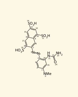 CNc1ccc(/N=N/c2cc3c(S(=O)(=O)O)cc(S(=O)(=O)O)cc3cc2S(=O)(=O)O)c(NC(N)=O)c1